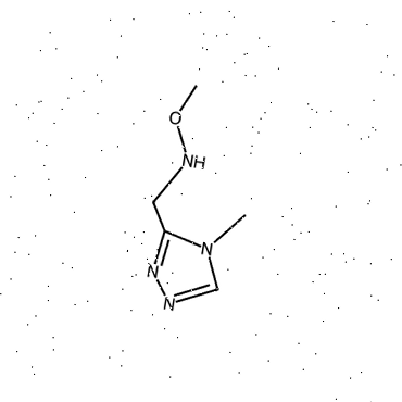 CONCc1nncn1C